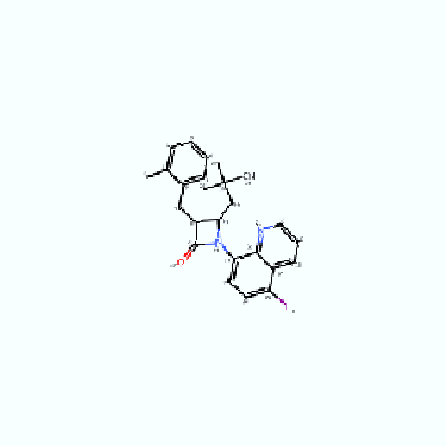 Cc1ccccc1CC1C(=O)N(c2ccc(I)c3cccnc23)C1CC(C)(C)C#N